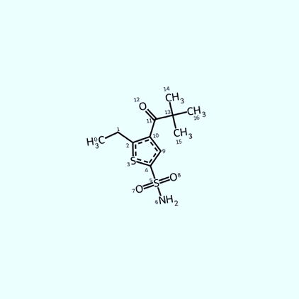 CCc1sc(S(N)(=O)=O)cc1C(=O)C(C)(C)C